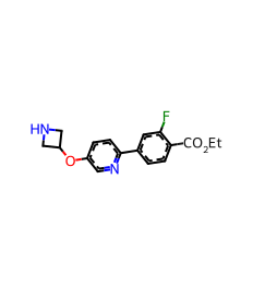 CCOC(=O)c1ccc(-c2ccc(OC3CNC3)cn2)cc1F